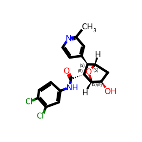 Cc1cc([C@@H]2[C@@H](C(=O)Nc3ccc(Cl)c(Cl)c3)[C@@H]3O[C@H]2C[C@H]3O)ccn1